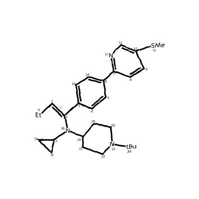 CC/C=C(/c1ccc(-c2ccc(SC)cn2)cc1)N(C1CC1)C1CCN(C(C)(C)C)CC1